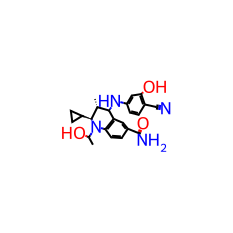 CC(O)N1c2ccc(C(N)=O)cc2[C@H](Nc2ccc(C#N)c(O)c2)[C@@H](C)[C@@H]1C1CC1